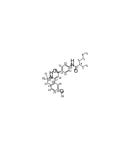 CCCCC(CC)C(=O)Nc1ccc(C(=O)C=C2NC(C)(C)Cc3ccc(OC)cc32)cc1